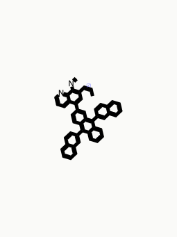 C=Nc1c(/C=C\C)cc(-c2ccc3c(-c4ccc5ccccc5c4)c4ccccc4c(-c4ccc5ccccc5c4)c3c2)c2cccnc12